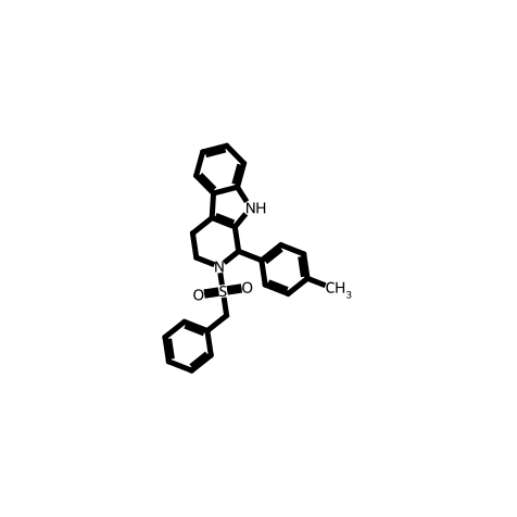 Cc1ccc(C2c3[nH]c4ccccc4c3CCN2S(=O)(=O)Cc2ccccc2)cc1